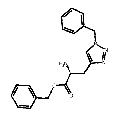 N[C@@H](Cc1cn(Cc2ccccc2)nn1)C(=O)OCc1ccccc1